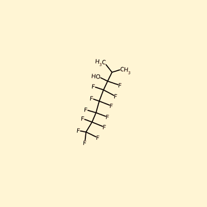 CC(C)C(O)(F)C(F)(F)C(F)(F)C(F)(F)C(F)(F)C(F)(F)F